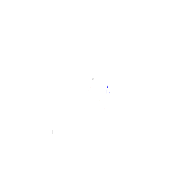 Cc1ccc(S(=O)(=O)N[C@H](c2ccccc2)[C@@H]2CO2)cc1